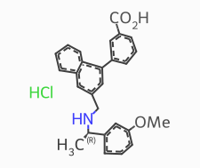 COc1cccc([C@@H](C)NCc2cc(-c3cccc(C(=O)O)c3)c3ccccc3c2)c1.Cl